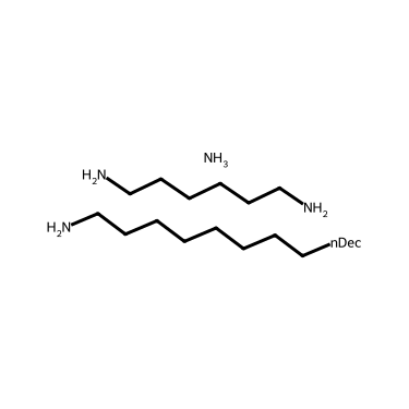 CCCCCCCCCCCCCCCCCCN.N.NCCCCCCN